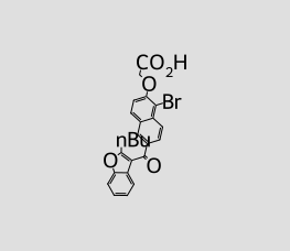 CCCCc1oc2ccccc2c1C(=O)c1ccc2c(Br)c(OCC(=O)O)ccc2c1